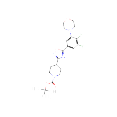 CC(C)(C)OC(=O)N1CCC(c2noc(-c3cc(F)c(F)c(N4CCOCC4)c3)n2)CC1